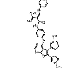 COC(=N)/C(=C\Nc1ccc(C)cc1)C(=O)Nc1ccc(Oc2ncnc3oc(-c4cnn(C)c4)c(-c4cccc(N)c4)c23)cc1